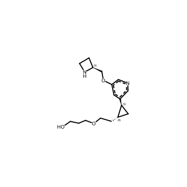 OCCCOCC[C@H]1C[C@@H]1c1cncc(OC[C@@H]2CCN2)c1